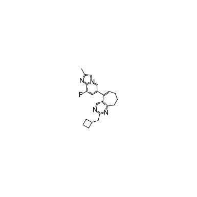 Cc1cn2cc(C3=CCCCc4nc(CC5CCC5)ncc43)cc(F)c2n1